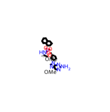 COC(=O)[C@H](C)NP(=O)(OC[C@@H]1C=C[C@H](n2cnc3c(OC)nc(N)nc32)C1)Oc1cccc2ccccc12